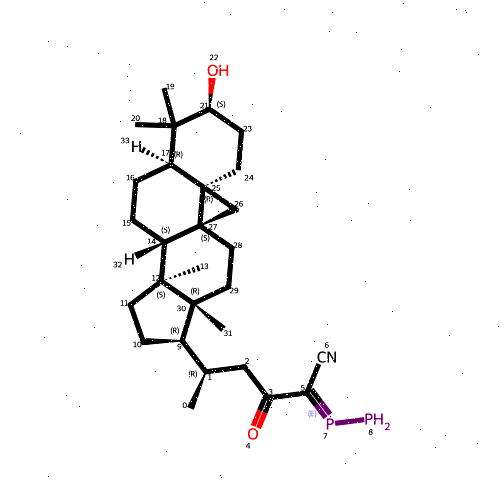 C[C@H](CC(=O)/C(C#N)=P/P)[C@H]1CC[C@@]2(C)[C@@H]3CC[C@H]4C(C)(C)[C@@H](O)CC[C@@]45C[C@@]35CC[C@]12C